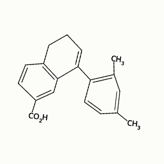 Cc1ccc(C2=CCCc3ccc(C(=O)O)cc32)c(C)c1